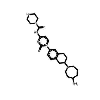 NC1CCCN(C2CCc3cc(-n4ccc(NC(=O)N5CCNCC5)nc4=O)ccc3C2)CC1